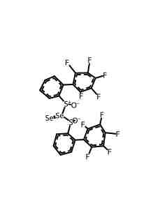 [O-][S+](c1ccccc1-c1c(F)c(F)c(F)c(F)c1F)[Se](=[Se])[S+]([O-])c1ccccc1-c1c(F)c(F)c(F)c(F)c1F